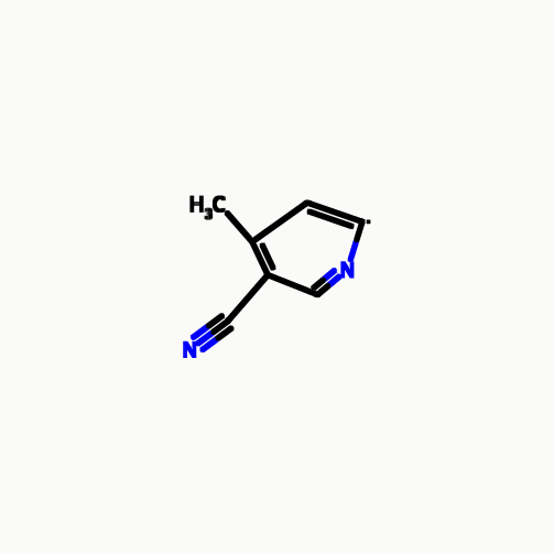 Cc1c[c]ncc1C#N